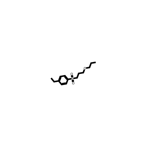 CCCOCCCS(=O)(=O)c1ccc(CC)cc1